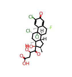 C[C@@H]1C[C@H]2[C@@H]3C[C@@H](F)C4=CC(=O)C(Cl)=C[C@]4(C)[C@@]3(Cl)[C@@H](Cl)C[C@]2(C)[C@@]1(O)C(=O)C(O)CC(=O)O